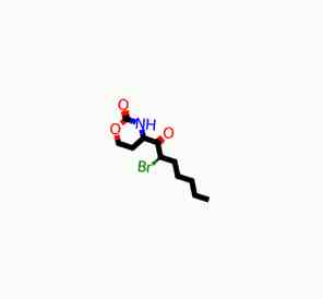 CCCCC[C@@H](Br)C(=O)C1CCOC(=O)N1